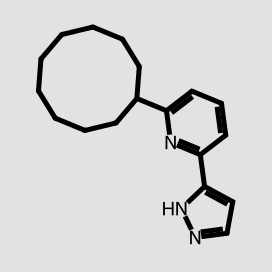 c1cc(-c2ccn[nH]2)nc(C2CCCCCCCCC2)c1